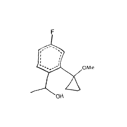 COC1(c2cc(F)ccc2C(C)O)CC1